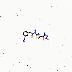 Cc1nc(C)c(-c2csc(NC(=O)Cc3cccc(C#N)c3)n2)o1